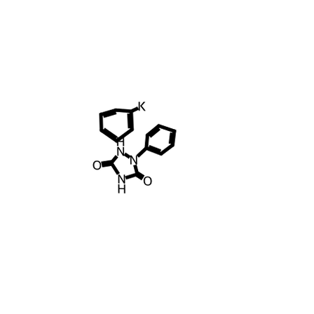 O=c1[nH]c(=O)n(-c2ccccc2)[nH]1.[K][c]1ccccc1